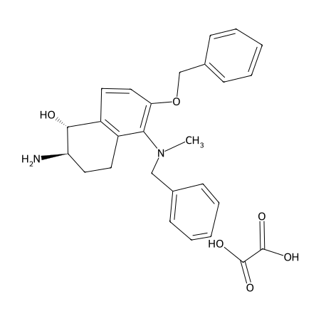 CN(Cc1ccccc1)c1c(OCc2ccccc2)ccc2c1CC[C@@H](N)[C@@H]2O.O=C(O)C(=O)O